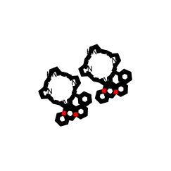 C1=Cc2cc3c(-c4ccccc4)c(-c4ccccc4)c(c(-c4ccccc4)c4nc(cc5ccc(cc1n2)[nH]5)C=C4)n3-c1ccccc1.C1=Cc2cc3c(-c4ccccc4)c(-c4ccccc4)c(c(-c4ccccc4)c4nc(cc5ccc(cc1n2)[nH]5)C=C4)n3-c1ccccc1